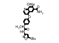 COc1cc2nccc(Oc3ccc(N(C)C(=O)Nc4cc(C(C)(C)C)on4)cc3)c2cc1C(N)=O